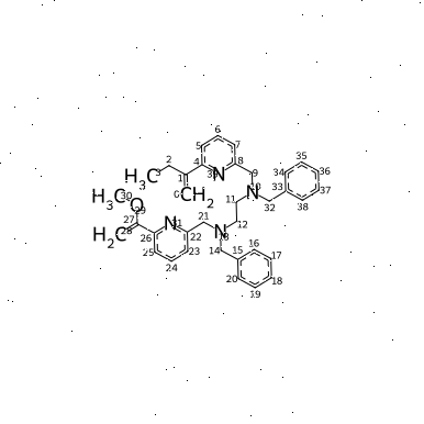 C=C(CC)c1cccc(CN(CCN(Cc2ccccc2)Cc2cccc(C(=C)OC)n2)Cc2ccccc2)n1